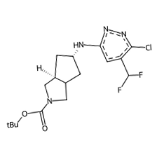 CC(C)(C)OC(=O)N1CC2C[C@@H](Nc3cc(C(F)F)c(Cl)nn3)C[C@@H]2C1